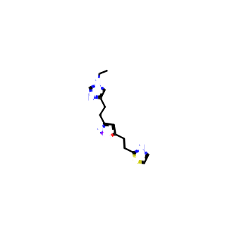 CCn1cnc(CCc2cc(CCc3nccs3)on2)c1